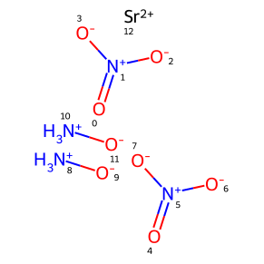 O=[N+]([O-])[O-].O=[N+]([O-])[O-].[NH3+][O-].[NH3+][O-].[Sr+2]